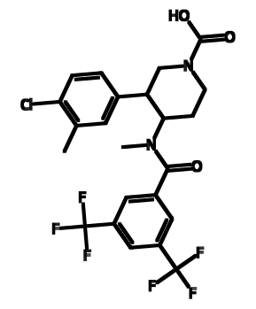 Cc1cc(C2CN(C(=O)O)CCC2N(C)C(=O)c2cc(C(F)(F)F)cc(C(F)(F)F)c2)ccc1Cl